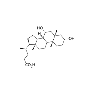 C[C@H](CCC(=O)O)[C@H]1CCC2[C@H]3C(CC[C@@]21C)[C@@]1(C)CC[C@@H](O)C[C@@]1(C)C[C@H]3O